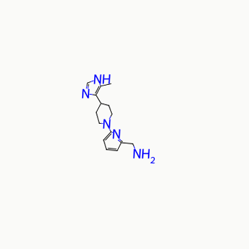 Cc1[nH]cnc1C1CCN(c2cccc(CN)n2)CC1